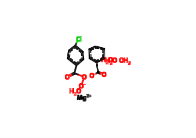 O.O.O.O.O=C(O[O-])c1ccc(Cl)cc1.O=C([O-])c1ccccc1.[Mg+2]